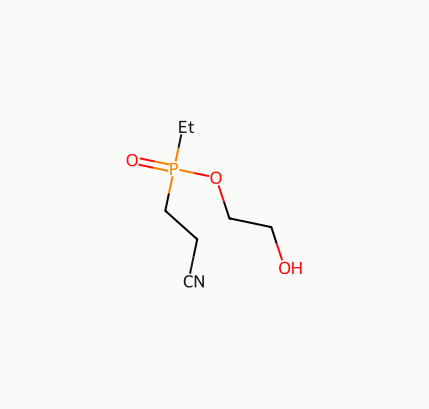 CCP(=O)(CCC#N)OCCO